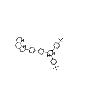 CC(C)(C)c1ccc(-c2cc(-c3ccc(-c4ccc(-c5ccc6c(n5)C5N=CC=CC5C=C6)cc4)cc3)nc(-c3ccc(C(C)(C)C)cc3)n2)cc1